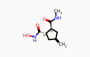 C=C1C[C@H](C(=O)NC)[C@@H](C(=O)NO)C1